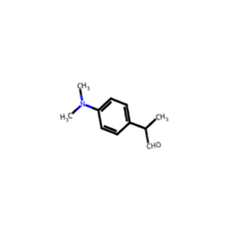 CC(C=O)c1ccc(N(C)C)cc1